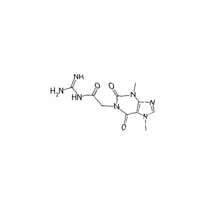 Cn1cnc2c1c(=O)n(CC(=O)NC(=N)N)c(=O)n2C